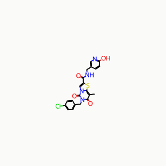 Cc1c(=O)n(Cc2ccc(Cl)cc2)c(=O)n2cc(C(=O)NCc3ccc(O)nc3)sc12